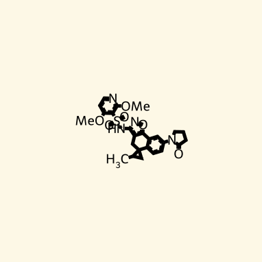 COc1ccnc(OC)c1S(=O)(=O)Nc1noc2c1CC1(CC1C)c1ccc(N3CCCC3=O)cc1-2